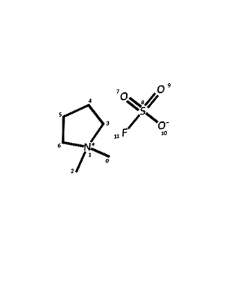 C[N+]1(C)CCCC1.O=S(=O)([O-])F